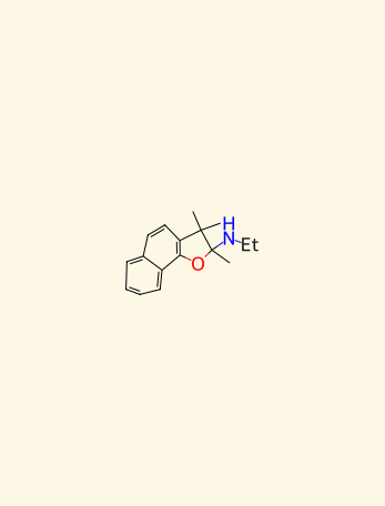 CCNC1(C)Oc2c(ccc3ccccc23)C1(C)C